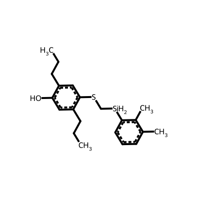 CCCc1cc(SC[SiH2]c2cccc(C)c2C)c(CCC)cc1O